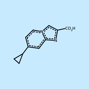 O=C(O)c1cn2ccc(C3CC3)cc2n1